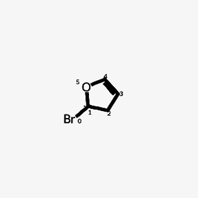 Br[C]1CC=CO1